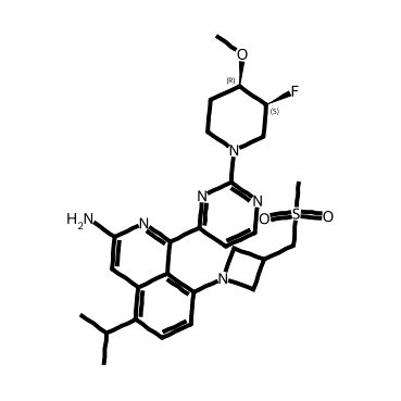 CO[C@@H]1CCN(c2nccc(-c3nc(N)cc4c(C(C)C)ccc(N5CC(CS(C)(=O)=O)C5)c34)n2)C[C@@H]1F